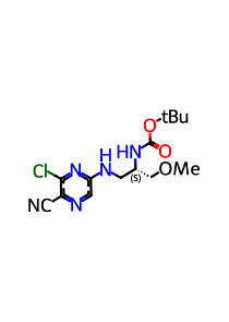 COC[C@H](CNc1cnc(C#N)c(Cl)n1)NC(=O)OC(C)(C)C